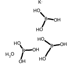 O.OB(O)O.OB(O)O.OB(O)O.[K]